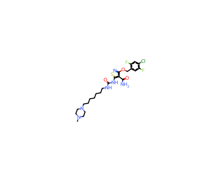 CN1CCN(CCCCCCCNC(=O)Nc2snc(OCc3cc(F)c(Cl)cc3F)c2C(N)=O)CC1